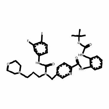 CC(C)(C)OC(=O)Nc1ccccc1NC(=O)c1ccc(CN(CCCN2CCOCC2)C(=O)Nc2ccc(F)c(F)c2)cn1